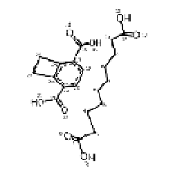 O=C(O)CCCCCCCCC(=O)O.O=C(O)c1ccc(C(=O)O)c2c1CC2